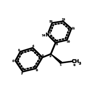 CC[C@@H](c1ccccc1)c1ccccn1